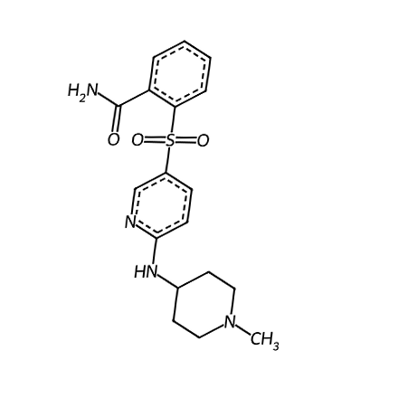 CN1CCC(Nc2ccc(S(=O)(=O)c3ccccc3C(N)=O)cn2)CC1